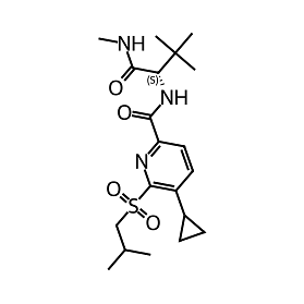 CNC(=O)[C@@H](NC(=O)c1ccc(C2CC2)c(S(=O)(=O)CC(C)C)n1)C(C)(C)C